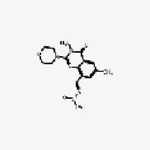 Cc1cc(C=N[S+]([O-])C(C)(C)C)c2nc(N3CCOCC3)n(C)c(=O)c2c1